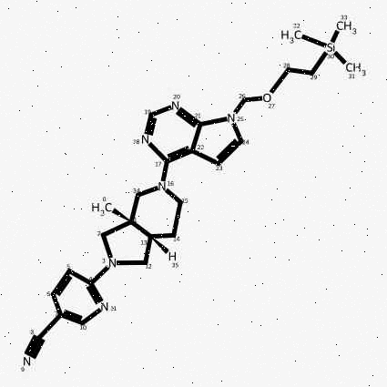 C[C@]12CN(c3ccc(C#N)cn3)C[C@H]1CCN(c1ncnc3c1ccn3COCC[Si](C)(C)C)C2